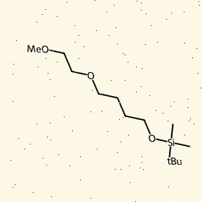 COCCOCCCCO[Si](C)(C)C(C)(C)C